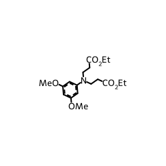 CCOC(=O)CCN(CCC(=O)OCC)c1cc(OC)cc(OC)c1